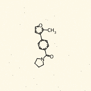 Cc1occc1-c1ccc(C(=O)N2CCCC2)cc1